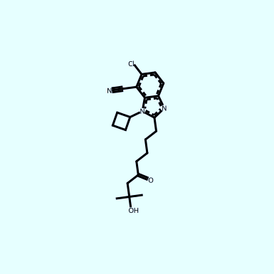 CC(C)(O)CC(=O)CCCCc1nc2ccc(Cl)c(C#N)c2n1C1CCC1